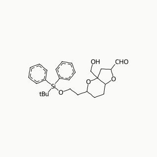 CC(C)(C)[Si](OCCC1CCC2OC(C=O)CC2(CO)O1)(c1ccccc1)c1ccccc1